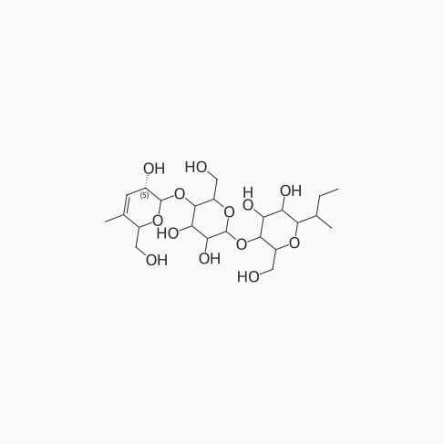 CCC(C)C1OC(CO)C(OC2OC(CO)C(OC3OC(CO)C(C)=C[C@@H]3O)C(O)C2O)C(O)C1O